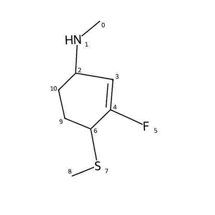 CNC1C=C(F)C(SC)CC1